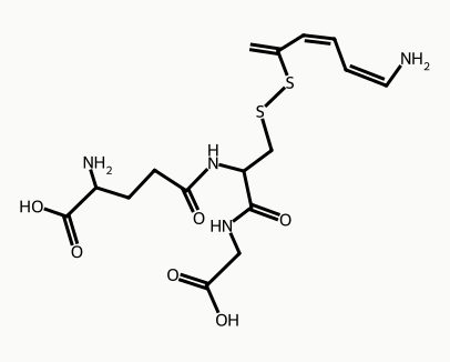 C=C(/C=C\C=C/N)SSCC(NC(=O)CCC(N)C(=O)O)C(=O)NCC(=O)O